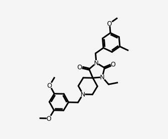 CCN1C(=O)N(Cc2cc(C)cc(OC)c2)C(=O)C12CCN(Cc1cc(OC)cc(OC)c1)CC2